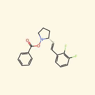 O=C(ON1CCC[C@@H]1/C=C/c1cccc(F)c1F)c1ccccc1